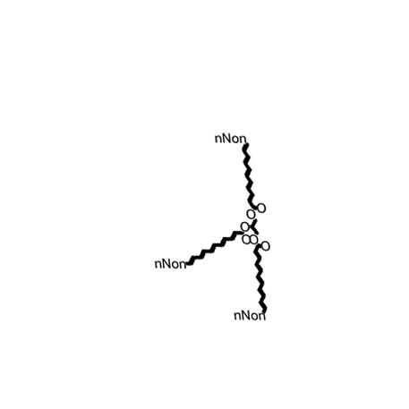 CCCCCCCCC/C=C/C=C/C=C/C=C/C=C/C(=O)OCC(COC(=O)/C=C/C=C/C=C/C=C/C=C/CCCCCCCCC)OC(=O)/C=C/C=C/C=C/C=C/C=C/CCCCCCCCC